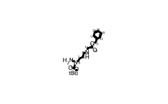 CC(C)(C)OC(=O)N(N)CCCCNCC(=O)OCc1ccccc1